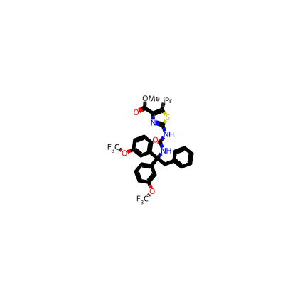 COC(=O)c1nc(NC(=O)NC(Cc2ccccc2)(c2cccc(OC(F)(F)F)c2)c2cccc(OC(F)(F)F)c2)sc1C(C)C